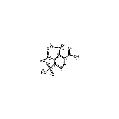 O=C(O)c1ccc(S(=O)(=O)O)c([N+](=O)[O-])c1[N+](=O)[O-]